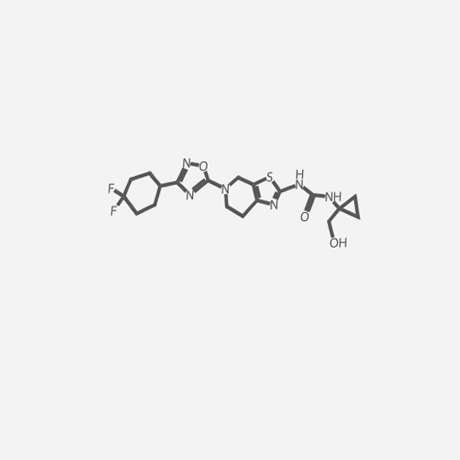 O=C(Nc1nc2c(s1)CN(c1nc(C3CCC(F)(F)CC3)no1)CC2)NC1(CO)CC1